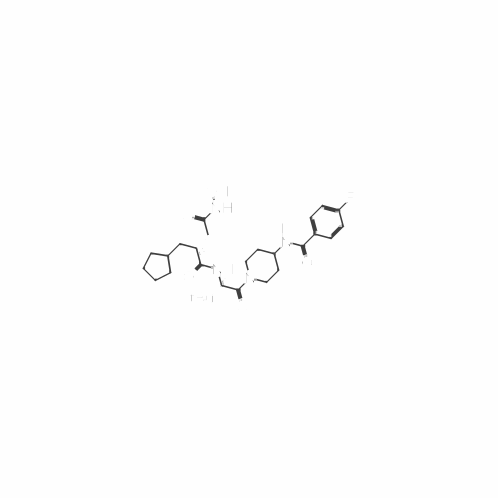 CC(C)(C)[C@H](NC(=O)[C@@H](CC(=O)NO)CC1CCCC1)C(=O)N1CCC(NC(=O)c2ccc(F)cc2)CC1